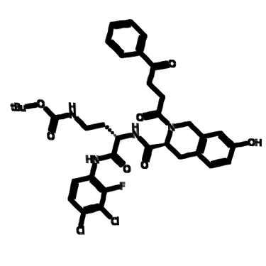 CC(C)(C)OC(=O)NCC[C@H](NC(=O)[C@@H]1Cc2ccc(O)cc2CN1C(=O)CCC(=O)c1ccccc1)C(=O)Nc1ccc(Cl)c(Cl)c1F